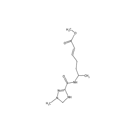 COC(=O)/C=C/CCC(C)NC(=O)C1=NN(C)CN1